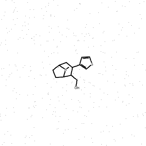 CN1C2CCC1C(CO)C(c1ccsc1)C2